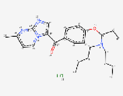 CCCCN(CCCC)C(CC)Oc1ccc(C(=O)c2cnc3nc(C)ccn23)cc1.Cl